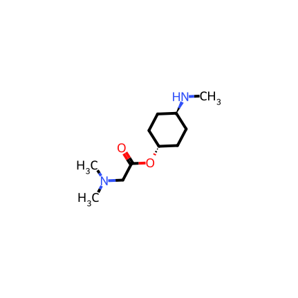 CN[C@H]1CC[C@H](OC(=O)CN(C)C)CC1